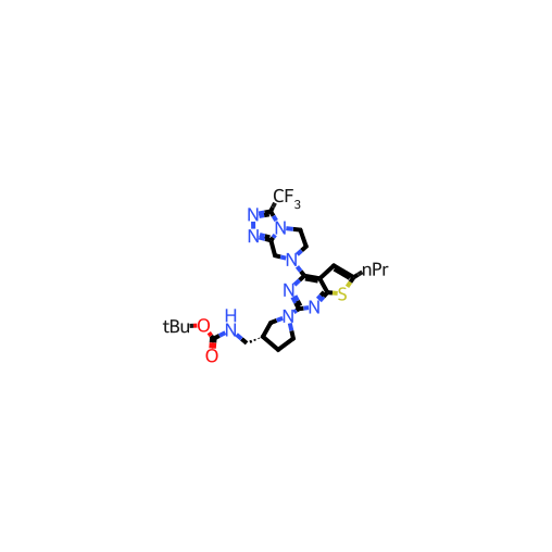 CCCc1cc2c(N3CCn4c(nnc4C(F)(F)F)C3)nc(N3CC[C@H](CNC(=O)OC(C)(C)C)C3)nc2s1